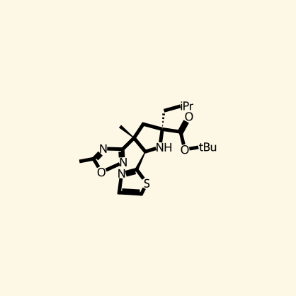 Cc1nc([C@]2(C)C[C@@](CC(C)C)(C(=O)OC(C)(C)C)N[C@H]2c2nccs2)no1